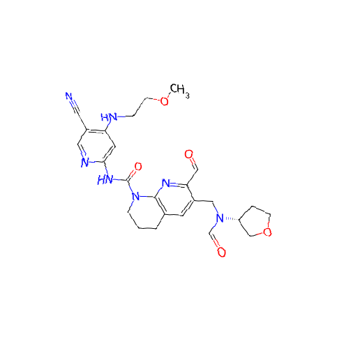 COCCNc1cc(NC(=O)N2CCCc3cc(CN(C=O)[C@@H]4CCOC4)c(C=O)nc32)ncc1C#N